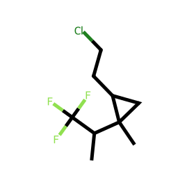 CC(C(F)(F)F)C1(C)CC1CCCl